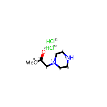 COC(=O)CN1CCNCC1.Cl.Cl